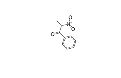 CC(C(=O)c1ccccc1)[N+](=O)[O-]